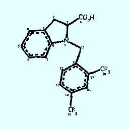 O=C(O)C1Cc2ccccc2N1Cc1ccc(C(F)(F)F)cc1C(F)(F)F